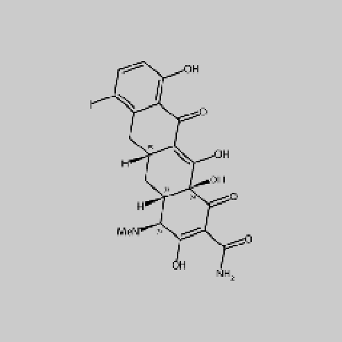 CN[C@@H]1C(O)=C(C(N)=O)C(=O)[C@@]2(O)C(O)=C3C(=O)c4c(O)ccc(I)c4C[C@H]3C[C@@H]12